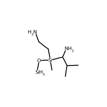 CC(C)C(N)[Si](C)(CCN)O[SiH3]